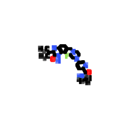 [2H]C([2H])([2H])NC(=O)c1ccc(N2CCN(Cc3ccc4nc(C(C)C)c(=O)[nH]c4c3F)CC2)cn1